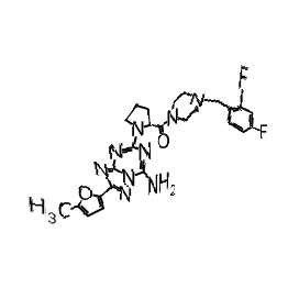 Cc1ccc(-c2nc3nc(N4CCC[C@H]4C(=O)N4CCN(Cc5ccc(F)cc5F)CC4)nc(N)n3n2)o1